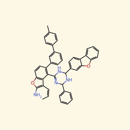 C/C=C\c1c(N)oc2ccc(-c3cccc(-c4ccc(C)cc4)c3)c(C3=NC(c4ccccc4)NC(c4ccc5c(c4)oc4ccccc45)N3)c12